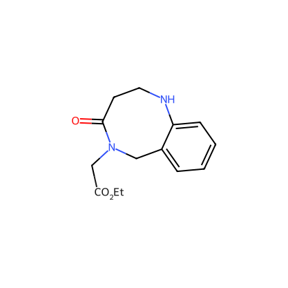 CCOC(=O)CN1Cc2ccccc2NCCC1=O